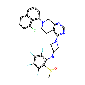 C[S+]([O-])c1c(F)c(F)c(F)c(F)c1NC1CN(c2ncnc3c2CCN(c2cccc4cccc(Cl)c24)C3)C1